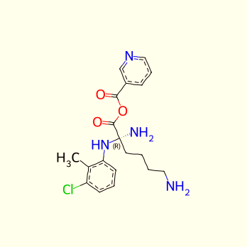 Cc1c(Cl)cccc1N[C@](N)(CCCCN)C(=O)OC(=O)c1cccnc1